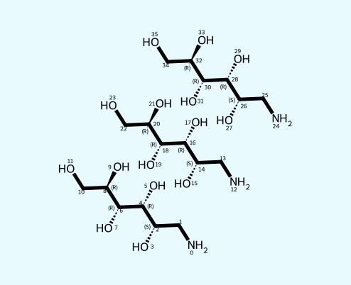 NC[C@H](O)[C@@H](O)[C@H](O)[C@H](O)CO.NC[C@H](O)[C@@H](O)[C@H](O)[C@H](O)CO.NC[C@H](O)[C@@H](O)[C@H](O)[C@H](O)CO